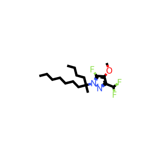 CCCCCCCC(C)(CCCC)n1nc(C(F)F)c(OC)c1F